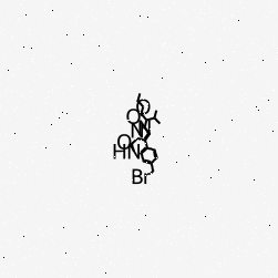 CCOC(=O)C(C(C)C)n1cc2c(n1)c(=O)[nH]c1cc(CBr)ccc12